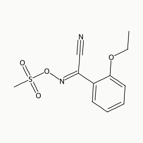 CCOc1ccccc1C(C#N)=NOS(C)(=O)=O